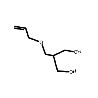 C=CCOCC(CO)CO